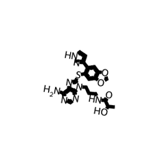 CC(O)C(=O)NCCCn1c(Sc2cc3c(cc2-c2cc[nH]n2)OCO3)nc2c(N)ncnc21